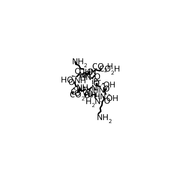 CC(C)[C@H](NC(=O)[C@H](CCCCN)NC(=O)[C@H](CO)NC(=O)[C@H](CCC(=O)O)NC(=O)[C@H](CO)NC(=O)CNC(=O)[C@H](CO)NC(=O)[C@H](CO)NC(=O)[C@@H](N)CCCCN)C(=O)N[C@@H](CC(=O)O)C(=O)O